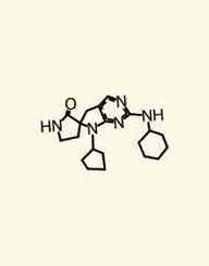 O=C1NCCC12Cc1cnc(NC3CCCCC3)nc1N2C1CCCC1